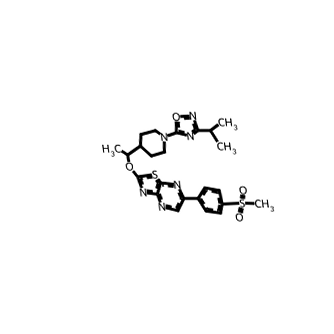 CC(C)c1noc(N2CCC(C(C)Oc3nc4ncc(-c5ccc(S(C)(=O)=O)cc5)nc4s3)CC2)n1